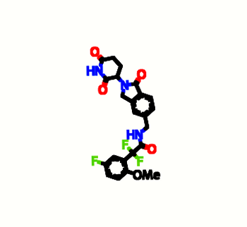 COc1ccc(F)cc1C(F)(F)C(=O)NCc1ccc2c(c1)CN(C1CCC(=O)NC1=O)C2=O